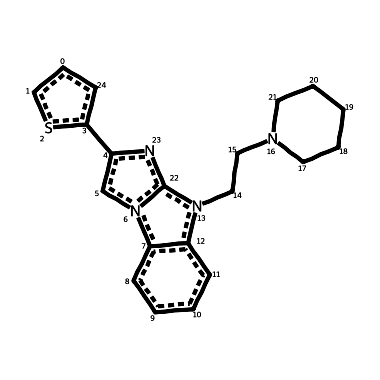 c1csc(-c2cn3c4ccccc4n(CCN4CCCCC4)c3n2)c1